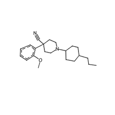 CCCC1CCC(N2CCC(C#N)(c3ccccc3OC)CC2)CC1